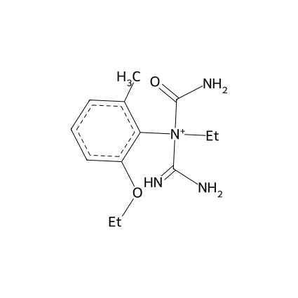 CCOc1cccc(C)c1[N+](CC)(C(=N)N)C(N)=O